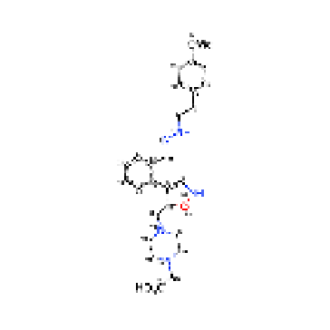 COc1ccc(CCNN=Cc2ccccc2C2=CNOC2CN2CCN(CC(=O)O)CC2)cc1